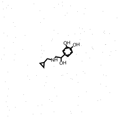 Oc1ccc(C(O)CNCC2CC2)cc1O